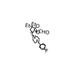 CCC1(CC)C[C@H](CN2CCN(c3ccc(F)cc3)CC2)N(OC=O)C1=O